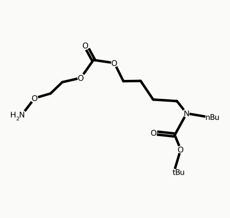 CCCCN(CCCCOC(=O)OCCON)C(=O)OC(C)(C)C